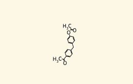 CC(=O)Oc1ccc(Cc2ccc(C(C)=O)cc2)cc1